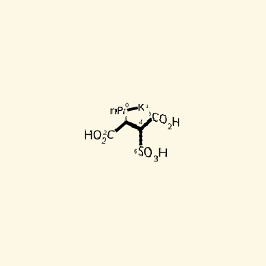 CC[CH2][K].O=C(O)CC(C(=O)O)S(=O)(=O)O